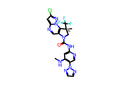 CNc1cc(NC(=O)N2C[C@@](C)(C(F)(F)F)c3c2cnc2cc(Cl)nn32)ncc1-n1nccn1